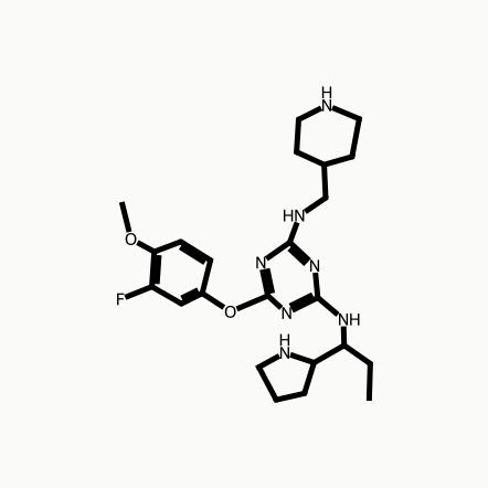 CCC(Nc1nc(NCC2CCNCC2)nc(Oc2ccc(OC)c(F)c2)n1)C1CCCN1